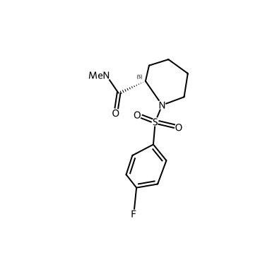 CNC(=O)[C@@H]1CCCCN1S(=O)(=O)c1ccc(F)cc1